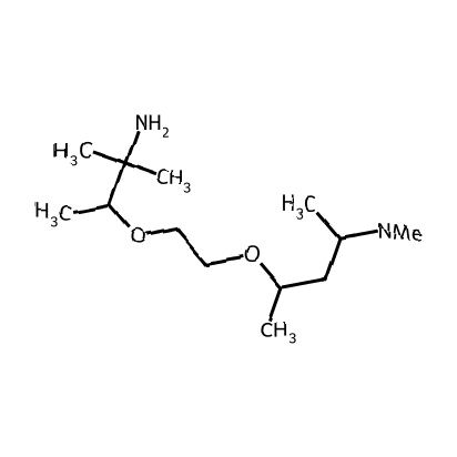 CNC(C)CC(C)OCCOC(C)C(C)(C)N